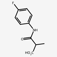 CC(C(=O)O)C(=O)Nc1ccc(F)cc1